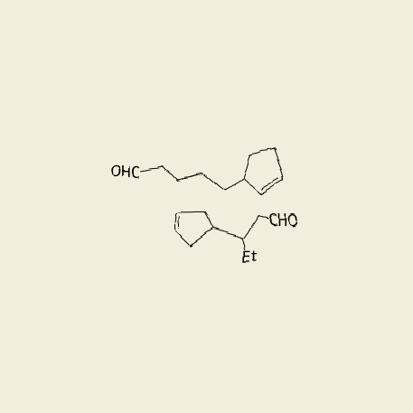 CCC(CC=O)C1CC=CC1.O=CCCCCC1C=CCC1